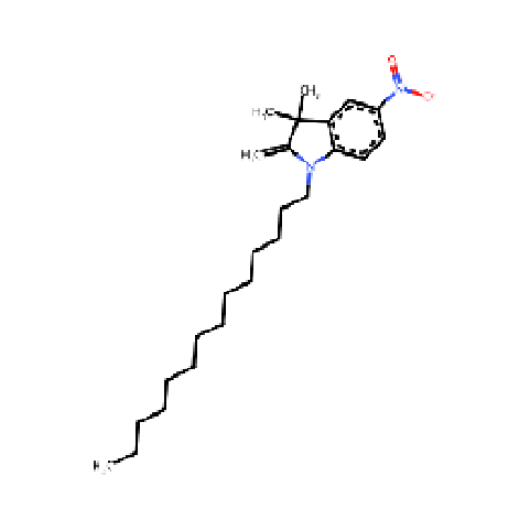 C=C1N(CCCCCCCCCCCCCC)c2ccc([N+](=O)[O-])cc2C1(C)C